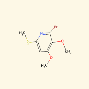 COc1cc(SC)nc(Br)c1OC